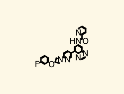 O=C(Nc1cc(-c2ccc(N3CC(Oc4cccc(F)c4)C3)nc2)c2nccnc2c1)c1ccccn1